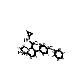 O=C(NC1CC1)C1C(c2ccc(Oc3ccccc3)cc2)=CC=C2NCCN21